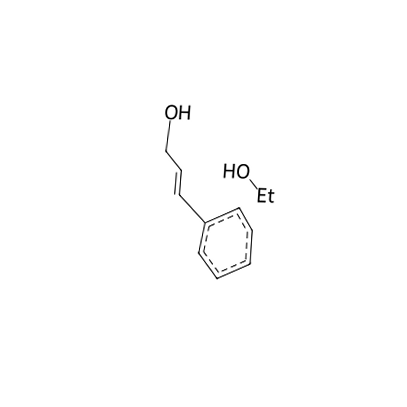 CCO.OCC=Cc1ccccc1